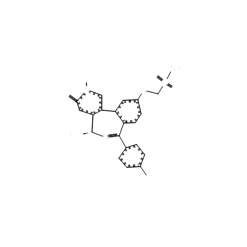 C[C@@H]1N=C(c2ccc(F)cc2)c2ccc(NCS(N)(=O)=O)cc2-c2cn(C)c(=O)cc21